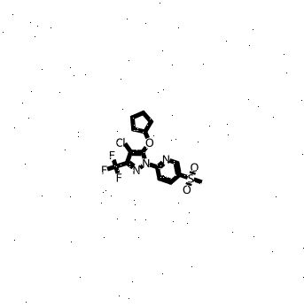 CS(=O)(=O)c1ccc(-n2nc(C(F)(F)F)c(Cl)c2OC2CCCC2)nc1